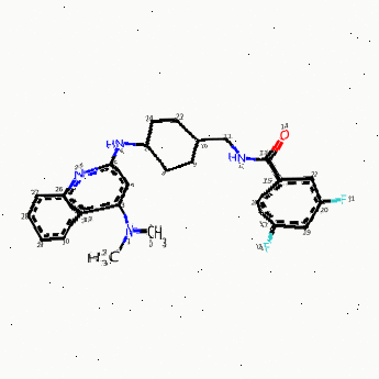 CN(C)c1cc(NC2CCC(CNC(=O)c3cc(F)cc(F)c3)CC2)nc2ccccc12